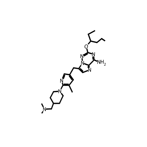 CCCC(CC)Oc1nc(N)c2ncc(Cc3cnc(N4CCC(CN(C)C)CC4)c(C)c3)n2n1